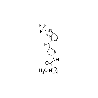 Cn1cncc1C(=O)Nc1ccc(Nc2cccc3nc(C(F)(F)F)cn23)cc1